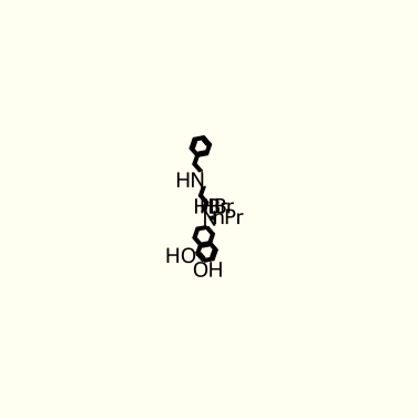 Br.Br.CCCN(CCCCNCCc1ccccc1)C1CCc2c(ccc(O)c2O)C1